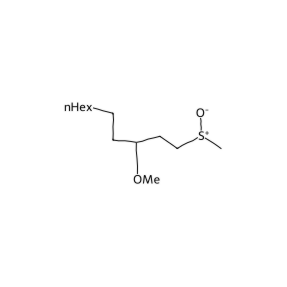 CCCCCCCCC(CC[S+](C)[O-])OC